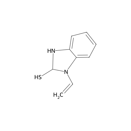 C=CN1c2ccccc2NC1S